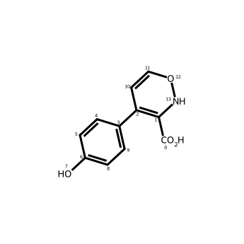 O=C(O)C1=C(c2ccc(O)cc2)C=CON1